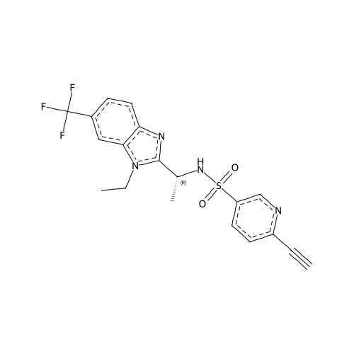 C#Cc1ccc(S(=O)(=O)N[C@H](C)c2nc3ccc(C(F)(F)F)cc3n2CC)cn1